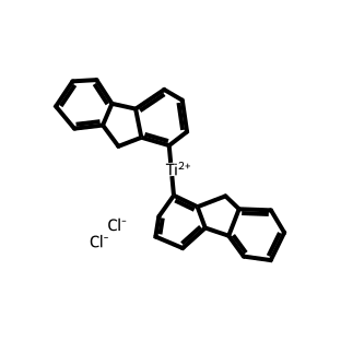 [Cl-].[Cl-].c1ccc2c(c1)Cc1[c]([Ti+2][c]3cccc4c3Cc3ccccc3-4)cccc1-2